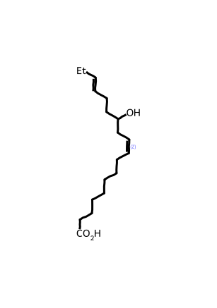 CCC=CCCC(O)C/C=C\CCCCCCCC(=O)O